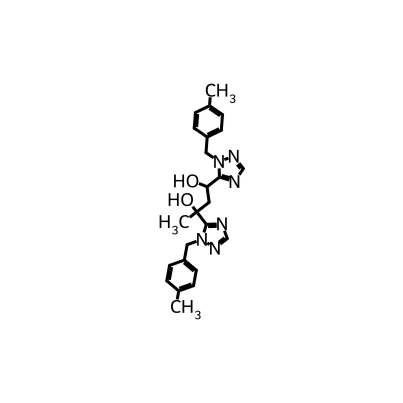 Cc1ccc(Cn2ncnc2C(O)CC(C)(O)c2ncnn2Cc2ccc(C)cc2)cc1